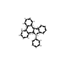 c1ccc(-n2c3ccccc3c3c4ccccc4c4ncccc4c32)cc1